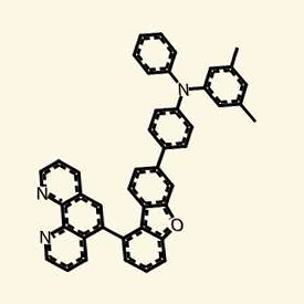 Cc1cc(C)cc(N(c2ccccc2)c2ccc(-c3ccc4c(c3)oc3cccc(-c5cc6cccnc6c6ncccc56)c34)cc2)c1